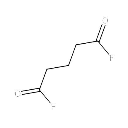 O=C(F)CCCC(=O)F